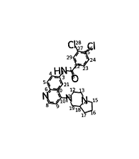 O=C(Nc1ccc2nccc(N3CCN4CCCC4C3)c2c1)c1ccc(Cl)c(Cl)c1